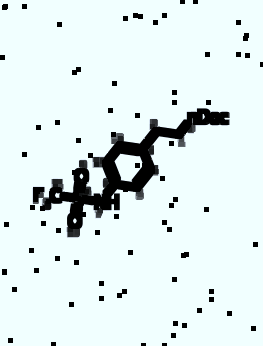 CCCCCCCCCCCCc1ccc(NS(=O)(=O)C(F)(F)F)cc1